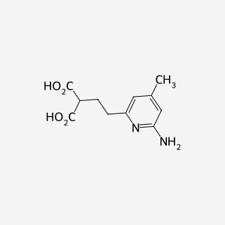 Cc1cc(N)nc(CCC(C(=O)O)C(=O)O)c1